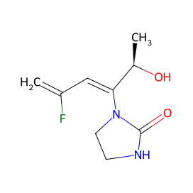 C=C(F)/C=C(/[C@@H](C)O)N1CCNC1=O